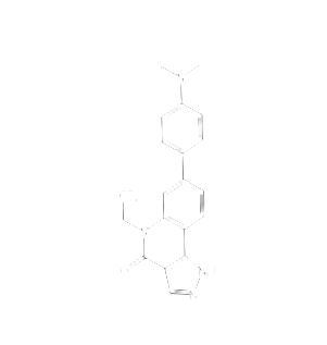 CN(C)c1ccc(-c2ccc3c4[nH]ncc4c(=O)n(CC(F)(F)F)c3c2)cc1